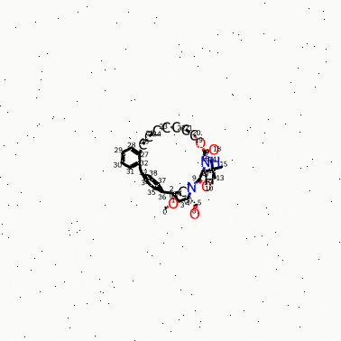 CO[C@@]12C[C@@H](C=O)N(C1)C(=O)[C@H](C(C)(C)C)NC(=O)OCCCCCCCc1ccccc1-c1ccc2cc1